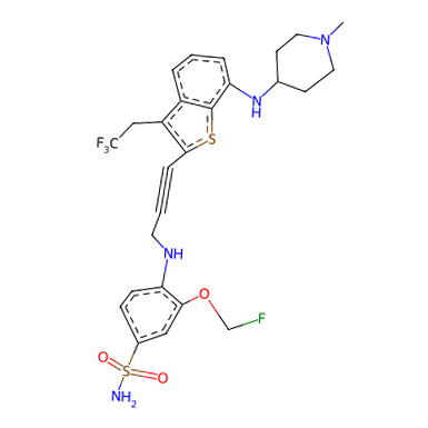 CN1CCC(Nc2cccc3c(CC(F)(F)F)c(C#CCNc4ccc(S(N)(=O)=O)cc4OCF)sc23)CC1